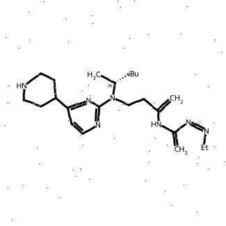 C=C(CCN(c1nccc(C2CCNCC2)n1)[C@H](C)C(C)CC)NC(=C)/N=N\CC